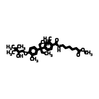 CCC(CC)(c1ccc(OCC(O)C(C)(C)C)c(C)c1)c1ccc(C(=O)NCCCCCC(=O)OC)c(C)c1